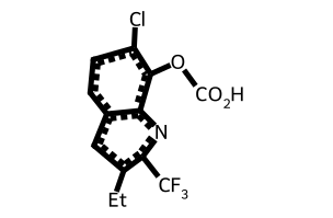 CCc1cc2ccc(Cl)c(OC(=O)O)c2nc1C(F)(F)F